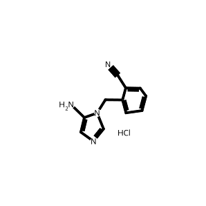 Cl.N#Cc1ccccc1Cn1cncc1N